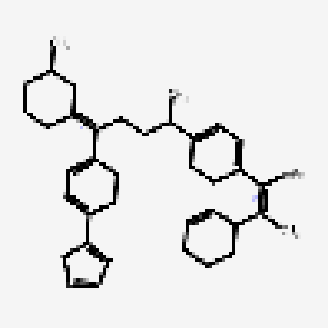 CCCC/C(C1=CC=C(C(C)CC/C(C2=CC=C(C3=CC=NC3)CC2)=C2/CCCC(C)C2)CC1)=C(\C)C1C=CCCC1